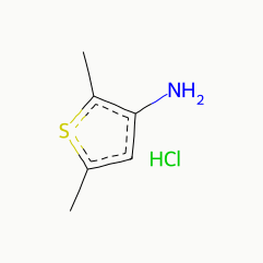 Cc1cc(N)c(C)s1.Cl